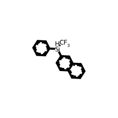 FC(F)(F)[SiH](c1ccccc1)c1ccc2ccccc2c1